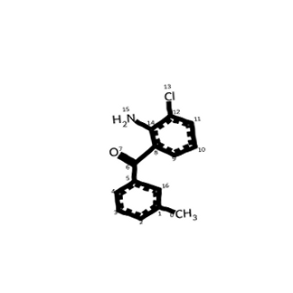 Cc1cccc(C(=O)c2cccc(Cl)c2N)c1